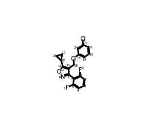 Fc1cccc(F)c1-c1noc(C2CC2)c1COc1cc[c]c(Cl)c1